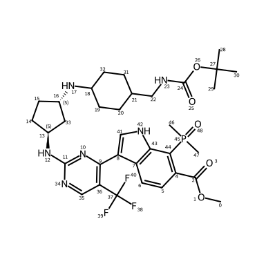 COC(=O)c1ccc2c(-c3nc(N[C@H]4CC[C@H](NC5CCC(CNC(=O)OC(C)(C)C)CC5)C4)ncc3C(F)(F)F)c[nH]c2c1P(C)(C)=O